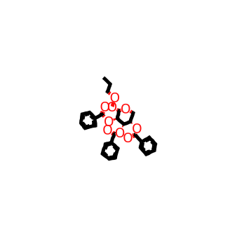 CCCOOC1OC[C@H](OC(=O)c2ccccc2)[C@H](OC(=O)c2ccccc2)[C@H]1OC(=O)c1ccccc1